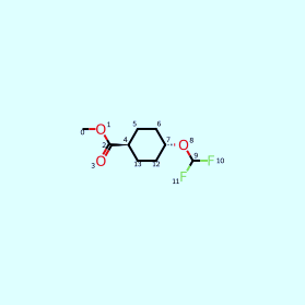 COC(=O)[C@H]1CC[C@H](OC(F)F)CC1